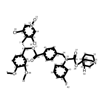 COc1ccc([C@H](Cc2c(Cl)c[n+]([O-])cc2Cl)OC(=O)c2ccc(CN(C(=O)O[C@H]3CN4CCC3CC4)c3cccc(F)c3)cc2)cc1OC